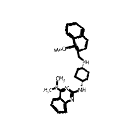 COc1c(CN[C@H]2CC[C@@H](Nc3nc(N(C)C)c4ccccc4n3)CC2)ccc2ccccc12